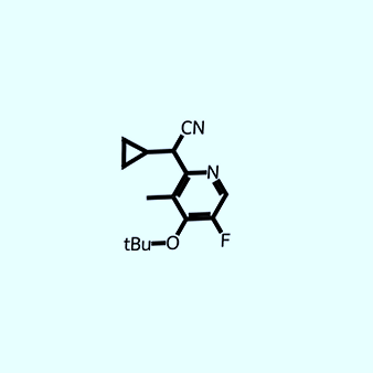 Cc1c(C(C#N)C2CC2)ncc(F)c1OC(C)(C)C